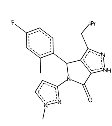 Cc1cc(F)ccc1C1c2c(CC(C)C)n[nH]c2C(=O)N1c1ccn(C)n1